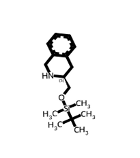 CC(C)(C)[Si](C)(C)OC[C@@H]1Cc2ccccc2CN1